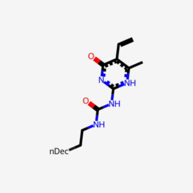 C=Cc1c(C)[nH]c(NC(=O)NCCCCCCCCCCCC)nc1=O